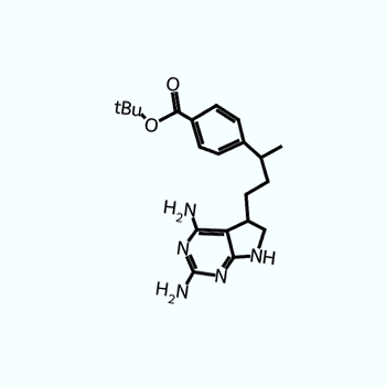 CC(CCC1CNc2nc(N)nc(N)c21)c1ccc(C(=O)OC(C)(C)C)cc1